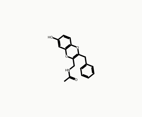 CC(=O)NCC1=C(Cc2ccccc2)Oc2ccc(O)cc2O1